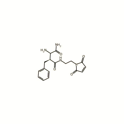 NC(=O)C(N)[C@H](Cc1ccccc1)C(=O)NCCN1C(=O)C=CC1=O